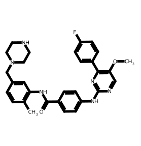 COc1cnc(Nc2ccc(C(=O)Nc3cc(CN4CCNCC4)ccc3C)cc2)nc1-c1ccc(F)cc1